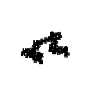 C[C@](O)(COc1ccc(NCCCCCCn2nc(Cc3ccc(F)c(C(=O)N4CCN(C(=O)C5CC5)CC4)c3)c3ccccc3c2=O)cc1)C(=O)Nc1ccc(C#N)c(C(F)(F)F)c1